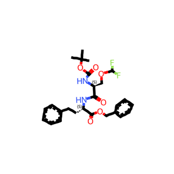 CC(C)(C)OC(=O)N[C@@H](COC(F)F)C(=O)N[C@@H](CCc1ccccc1)C(=O)OCc1ccccc1